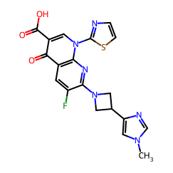 Cn1cnc(C2CN(c3nc4c(cc3F)c(=O)c(C(=O)O)cn4-c3nccs3)C2)c1